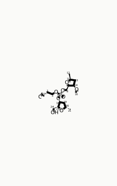 [C-]#[N+]CCOP(=O)(OC[C@H]1O[C@@H](C)C[C@H]1OC)O[C@@H]1C[C@H](C)O[C@@H]1CO